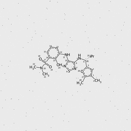 Cc1cc([C@H](Nc2nsnc2Nc2cccc(S(=O)(=O)N(C)C)c2O)C(C)C)oc1C